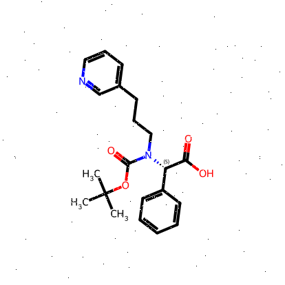 CC(C)(C)OC(=O)N(CCCc1cccnc1)[C@H](C(=O)O)c1ccccc1